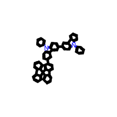 c1ccc(-n2c3ccccc3c3cc(-c4ccc5c(c4)c4cc(-c6ccc7c(c6)C6(c8ccccc8-c8ccccc86)c6ccccc6-7)ccc4n5-c4ccccc4)ccc32)cc1